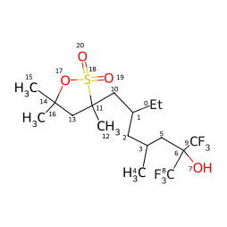 CCC(CC(C)CC(O)(C(F)(F)F)C(F)(F)F)CC1(C)CC(C)(C)OS1(=O)=O